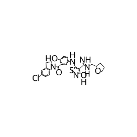 N=C(NCC1CCCO1)c1c(O)nsc1Nc1ccc(O)c(C(=O)N2CCc3cc(Cl)ccc32)c1